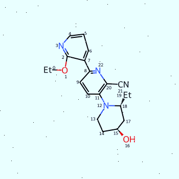 CCOc1ncccc1-c1ccc(N2CC[C@H](O)C[C@@H]2CC)c(C#N)n1